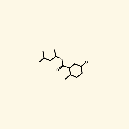 CC(C)CC(C)OC(=O)C1CC(O)CCC1C